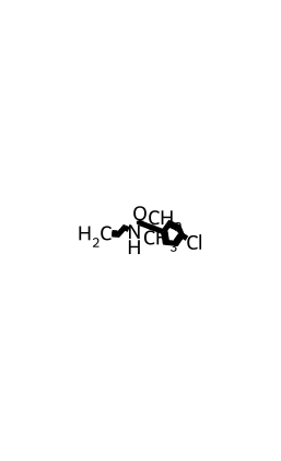 C=CCNC(=O)C(C)(C)c1ccc(Cl)cc1